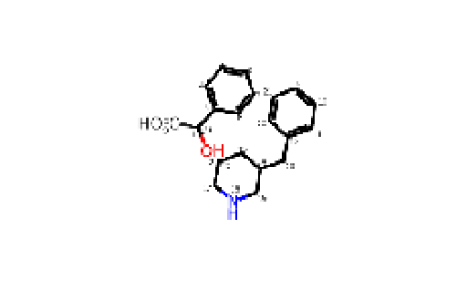 O=C(O)[C@H](O)c1ccccc1.c1ccc(CC2CCCNC2)cc1